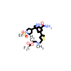 CCS(=O)(=O)N1CCC(c2c[nH]c3c(C(N)=O)cc(-c4csc(CN(C)C[C@H](C)OC(=O)C(F)(F)F)c4)cc23)CC1